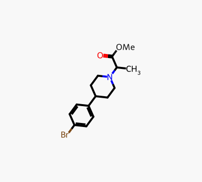 COC(=O)C(C)N1CCC(c2ccc(Br)cc2)CC1